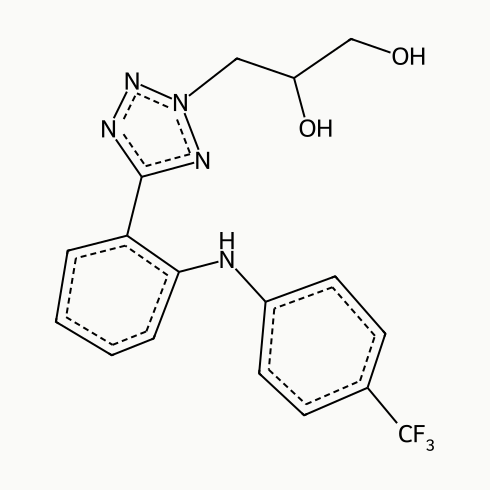 OCC(O)Cn1nnc(-c2ccccc2Nc2ccc(C(F)(F)F)cc2)n1